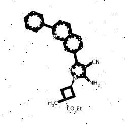 CCOC(=O)[C@]1(C)C[C@@H](n2nc(-c3ccc4ccc(-c5ccccc5)nc4c3)c(C#N)c2N)C1